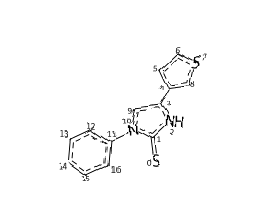 S=c1[nH]c(-c2ccsc2)cn1-c1ccccc1